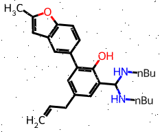 C=CCc1cc(-c2ccc3oc(C)cc3c2)c(O)c(C(NCCCC)NCCCC)c1